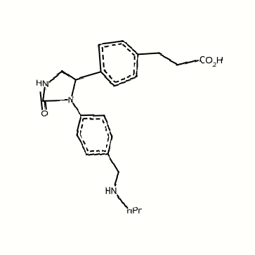 CCCNCc1ccc(N2C(=O)NCC2c2ccc(CCC(=O)O)cc2)cc1